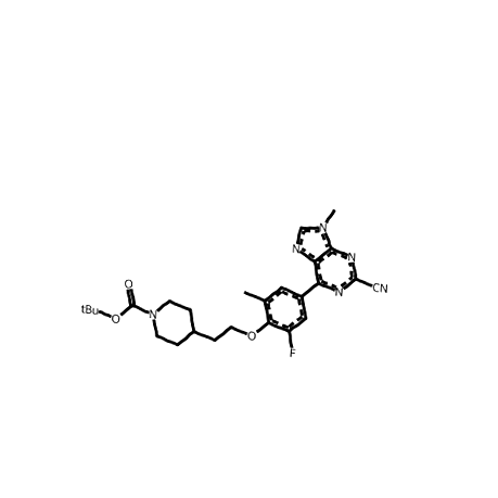 Cc1cc(-c2nc(C#N)nc3c2ncn3C)cc(F)c1OCCC1CCN(C(=O)OC(C)(C)C)CC1